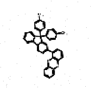 Cc1ccc(C2(c3ccc(C)cc3)c3ccccc3-c3ccc(-c4cccc5c4Sc4ccccc4S5)cc32)cc1